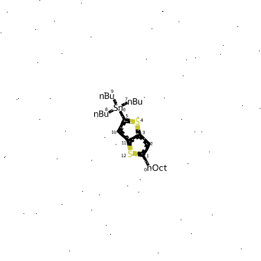 CCCCCCCCc1cc2s[c]([Sn]([CH2]CCC)([CH2]CCC)[CH2]CCC)cc2s1